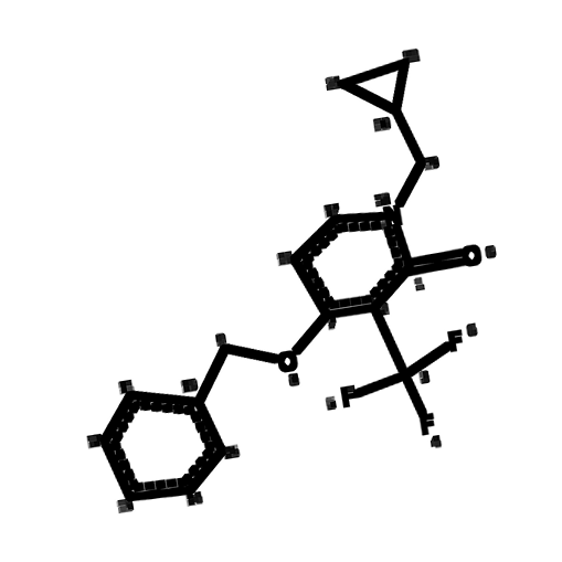 O=c1c(C(F)(F)F)c(OCc2ccccc2)ccn1CC1CC1